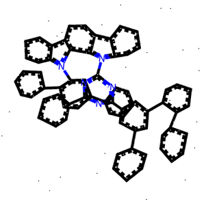 c1ccc(-c2cc(-c3nc(-c4ccccc4)nc(-n4c5ccccc5c5ccc6c7ccccc7n(-c7cc(-c8ccccc8)ccc7-c7ccccc7)c6c54)n3)cc(-c3ccccc3-c3ccccc3)c2)cc1